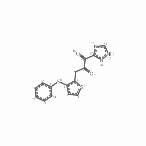 O=C(Cc1sccc1Sc1ccccc1)C(=O)c1nc[nH]n1